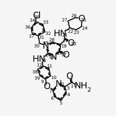 NC(=O)c1cccc(Oc2ccc(Nc3nc(=O)c(C(=O)NC4CCOCC4)cn3Cc3ccc(Cl)cc3)cc2)n1